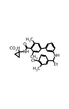 CCC(Nc1cccc(-c2cc(C)c(C(=O)NC3(C(=O)O)CC3)c(C)c2)c1)c1ccc(Cl)c(C)c1